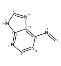 C=Nc1ncnc2[nH]cnc12